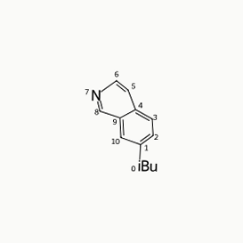 CCC(C)c1ccc2ccncc2c1